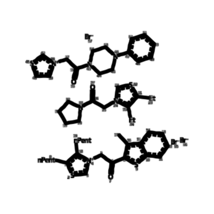 CCCCCc1sc[n+](CC(=O)c2sc3ccccc3c2C)c1CCCCC.CCc1sc[n+](CC(=O)N2CCCC2)c1CC.O=C(C[n+]1ccsc1)N1CCN(c2ccccc2)CC1.[Br-].[Br-].[Br-]